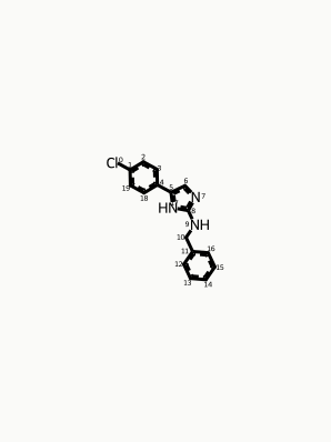 Clc1ccc(-c2cnc(NCc3ccccc3)[nH]2)cc1